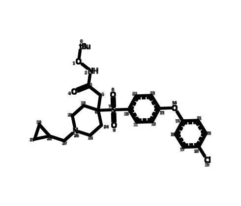 CC(C)(C)ONC(=O)CC1(S(=O)(=O)c2ccc(Oc3ccc(Cl)cc3)cc2)CCN(CC2CC2)CC1